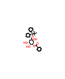 CC(C)(C)[Si](OC[C@]1(O)C[C@@H](O)[C@@H](O)[C@H](OC(=O)c2ccccc2)C1)(c1ccccc1)c1ccccc1